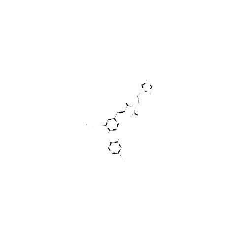 COc1cc(/C=C2\SC(=O)N(CCn3cncn3)C2=O)ccc1Oc1ccc(C)cc1C(F)(F)F